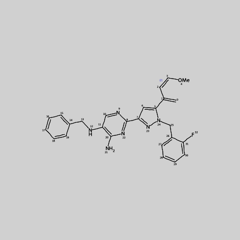 C=C(/C=C\OC)c1cc(-c2ncc(NCc3ccccc3)c(N)n2)nn1Cc1ccccc1F